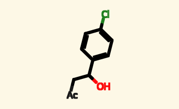 CC(=O)CC(O)c1ccc(Cl)cc1